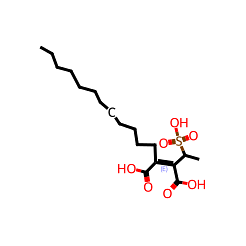 CCCCCCCCCCCC/C(C(=O)O)=C(/C(=O)O)C(C)S(=O)(=O)O